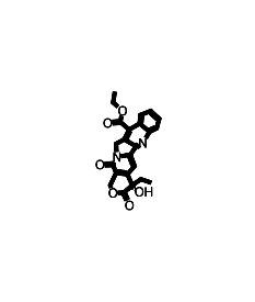 CCOC(=O)c1c2c(nc3ccccc13)-c1cc3c(c(=O)n1C2)COC(=O)[C@]3(O)CC